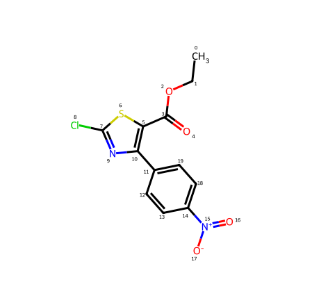 CCOC(=O)c1sc(Cl)nc1-c1ccc([N+](=O)[O-])cc1